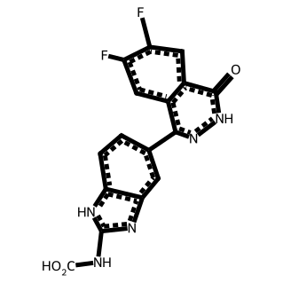 O=C(O)Nc1nc2cc(-c3n[nH]c(=O)c4cc(F)c(F)cc34)ccc2[nH]1